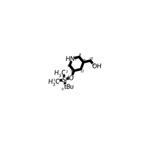 CC(C)(C)[Si](C)(C)OC1CNCC(CO)C1